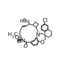 CCCCC1/C=C/C[C@@H](C)S(=O)(=O)NC(=O)c2ccc3c(c2)N(CC2CCC12)C[C@@]1(CCCc2cc(Cl)ccc21)CO3